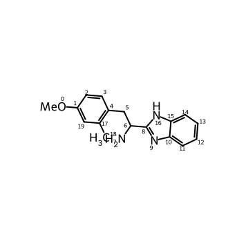 COc1ccc(CC(N)c2nc3ccccc3[nH]2)c(C)c1